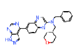 c1ccc(CN(CC2CCOCC2)c2cnc3cc(-c4ncnc5[nH]ncc45)ccc3n2)cc1